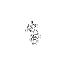 Cc1[nH]c(=O)c2cnc(Cl)c(F)c2c1C(C)CCO[Si](c1ccccc1)(c1ccccc1)C(C)(C)C